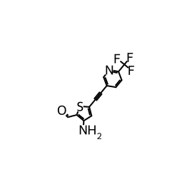 Nc1cc(C#Cc2ccc(C(F)(F)F)nc2)sc1C=O